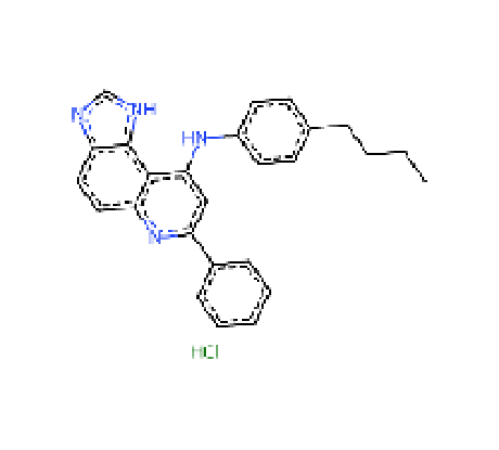 CCCCc1ccc(Nc2cc(-c3ccccc3)nc3ccc4nc[nH]c4c23)cc1.Cl